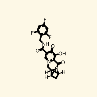 O=C(NCc1c(F)cc(F)cc1F)c1cn2c(c(O)c1=O)C(=O)N1[C@H]3C[C@H](C3)[C@@H]1C2